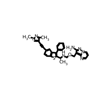 Cc1nn(C)cc1C#Cc1ccc2sc([C@@H](C)NCOCc3c(N)nn4cccnc34)c(-c3ccccc3)c2c1